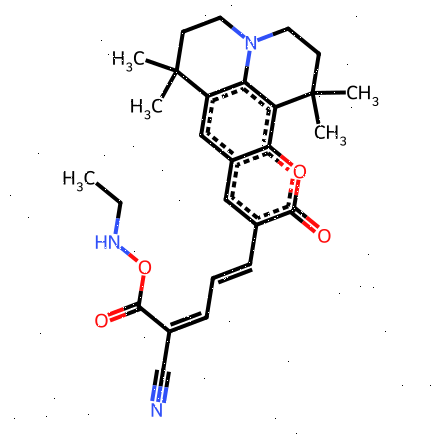 CCNOC(=O)C(C#N)=CC=Cc1cc2cc3c4c(c2oc1=O)C(C)(C)CCN4CCC3(C)C